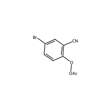 CC(=O)OOc1ccc(Br)cc1C#N